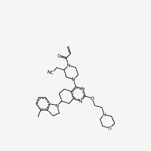 C=CC(=O)N1CCN(c2nc(OCCN3CCOCC3)nc3c2CCC(N2CCc4c(C)cccc42)C3)CC1CC#N